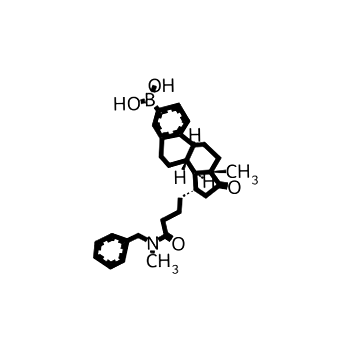 CN(Cc1ccccc1)C(=O)CCC[C@H]1CC(=O)[C@@]2(C)CC[C@@H]3c4ccc(B(O)O)cc4CC[C@H]3[C@H]12